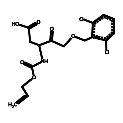 C=CCOC(=O)NC(CC(=O)O)C(=O)COCc1c(Cl)cccc1Cl